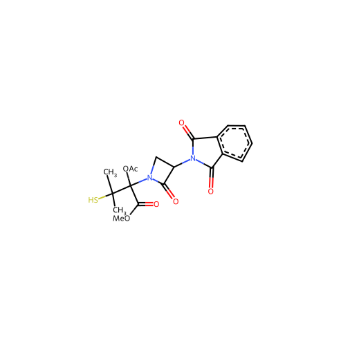 COC(=O)C(OC(C)=O)(N1CC(N2C(=O)c3ccccc3C2=O)C1=O)C(C)(C)S